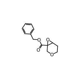 O=C(OCc1ccccc1)C12COCCC1O2